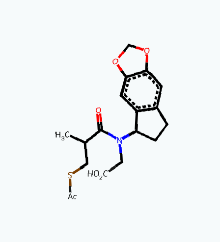 CC(=O)SCC(C)C(=O)N(CC(=O)O)C1CCc2cc3c(cc21)OCO3